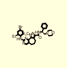 CCc1cc(Br)ccc1Nc1ncc2c(n1)-c1c(c(C(=O)N[C@H](CN3CCOCC3)c3ccccc3)nn1C)CCC2